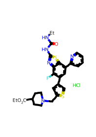 CCNC(=O)Nc1nc2c(F)c(-c3csc(CN4CCC(C(=O)OCC)CC4)c3)cc(-c3ccccn3)c2s1.Cl